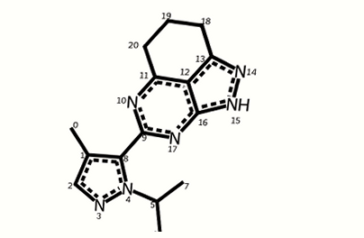 Cc1cnn(C(C)C)c1-c1nc2c3c(n[nH]c3n1)CCC2